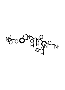 Cc1ncoc1COc1ccc2c(c1)CCN(CC(O)CNC(=O)c1cc(NC3CCC3)nc(OCCN(C)C)c1)C2